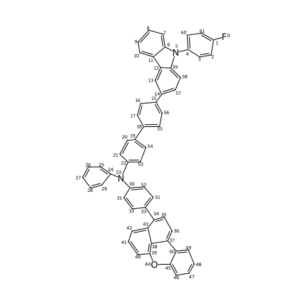 Fc1ccc(-n2c3ccccc3c3cc(-c4ccc(-c5ccc(N(c6ccccc6)c6ccc(-c7ccc8c9c(cccc79)Oc7ccccc7-8)cc6)cc5)cc4)ccc32)cc1